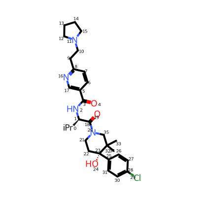 CC(C)[C@@H](NC(=O)c1ccc(CCN2CCCC2)nc1)C(=O)N1CC[C@](O)(c2ccc(Cl)cc2)C(C)(C)C1